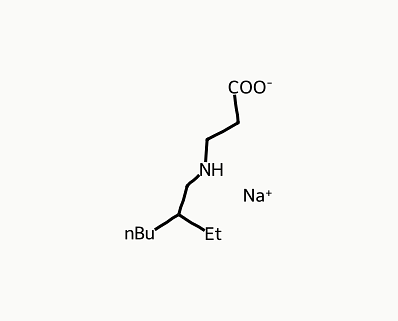 CCCCC(CC)CNCCC(=O)[O-].[Na+]